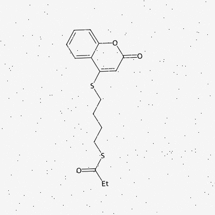 CCC(=O)SCCCCSc1cc(=O)oc2ccccc12